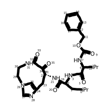 CC(C)CC(NC(=O)C(NC(=O)OCc1ccccc1)C(C)C)C(=O)N[C@@H]1Cc2cn(cn2)CCNC(=O)C1=O